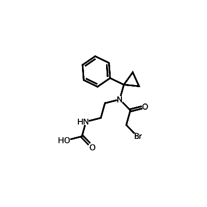 O=C(O)NCCN(C(=O)CBr)C1(c2ccccc2)CC1